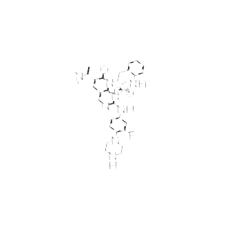 C=C(c1cc2cnc(Nc3ccc(N4CCNCC4)c(F)c3)nc2n(C2Cc3ccccc3NS2(=O)=O)c1=O)N(C)C